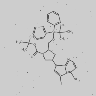 CC(C)(C)OC(=O)N1CC(n2cc(I)c3c(N)ncnc32)CC1CO[Si](c1ccccc1)(c1ccccc1)C(C)(C)C